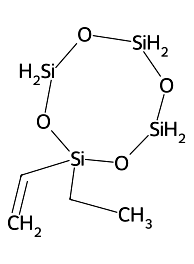 C=C[Si]1(CC)O[SiH2]O[SiH2]O[SiH2]O1